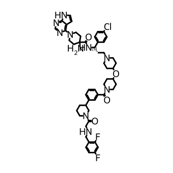 NC1(C(=O)N[C@@H](CCN2CCC(OC3CCN(C(=O)c4cccc(C5CCCN(C(=O)CNCc6ccc(F)cc6F)C5)c4)CC3)CC2)c2ccc(Cl)cc2)CCN(c2ncnc3[nH]ccc23)CC1